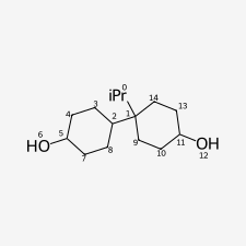 CC(C)C1(C2CCC(O)CC2)CCC(O)CC1